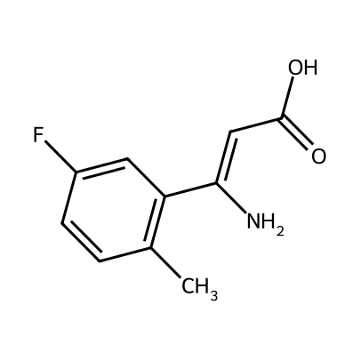 Cc1ccc(F)cc1/C(N)=C/C(=O)O